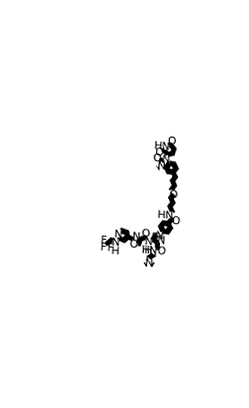 CN(C)CCNC(=O)c1nn(-c2ccc(C(=O)NCCCCOCCCCc3ccc4c(c3)n(C)c(=O)n4C3CCC(=O)NC3=O)cc2)cc1NC(=O)c1coc(-c2ccnc(NCC(F)(F)F)c2)n1